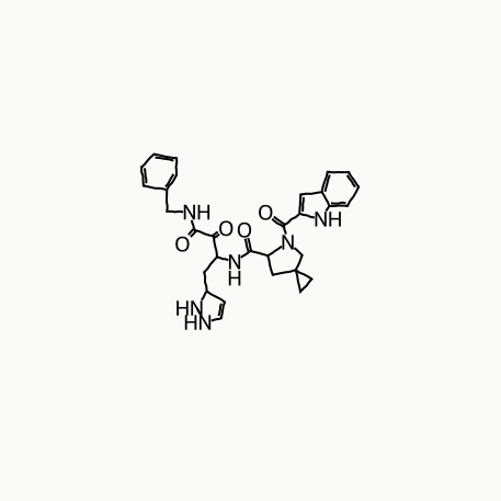 O=C(NCc1ccccc1)C(=O)C(CC1C=CNN1)NC(=O)C1CC2(CC2)CN1C(=O)c1cc2ccccc2[nH]1